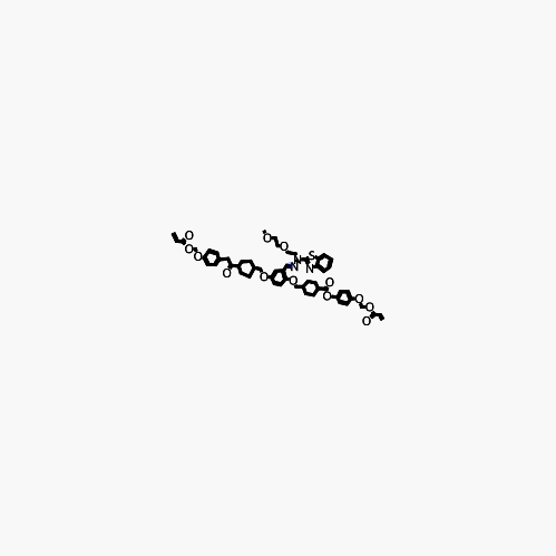 C=CC(=O)OCOc1ccc(CC(=O)C2CCC(COc3ccc(OCC4CCC(C(=O)Oc5ccc(OCOC(=O)C=C)cc5)CC4)c(/C=N/N(CCOCCOC)c4nc5ccccc5s4)c3)CC2)cc1